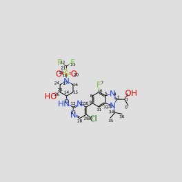 CC(O)c1nc2c(F)cc(-c3nc(N[C@@H]4CCN(S(=O)(=O)C(F)F)C[C@H]4O)ncc3Cl)cc2n1C(C)C